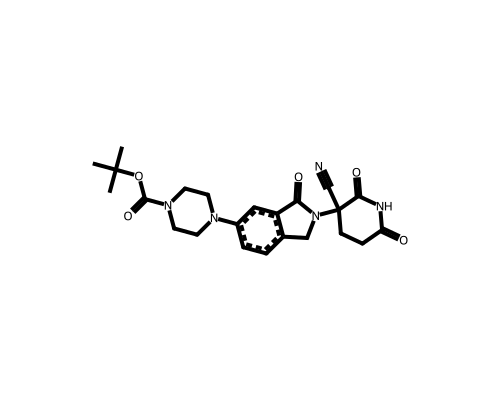 CC(C)(C)OC(=O)N1CCN(c2ccc3c(c2)C(=O)N(C2(C#N)CCC(=O)NC2=O)C3)CC1